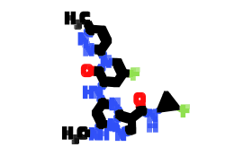 CNc1cc(Nc2cc(F)cn(-c3ccc(C)nn3)c2=O)nc2c(C(=O)N[C@@H]3C[C@@H]3F)cnn12